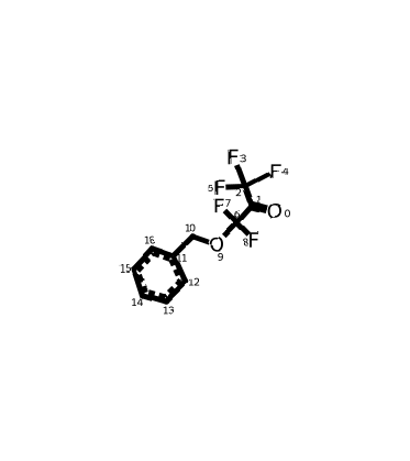 O=C(C(F)(F)F)C(F)(F)OCc1ccccc1